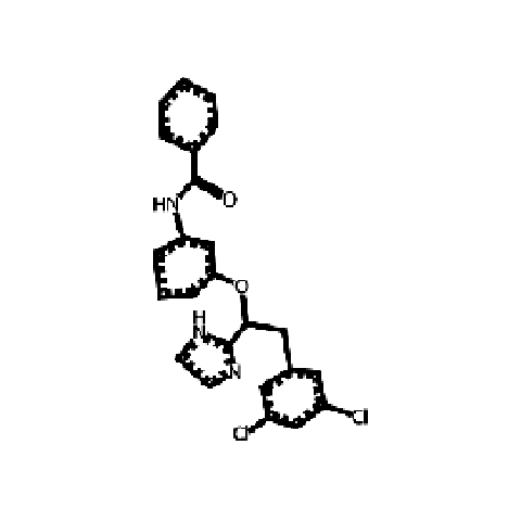 O=C(Nc1cccc(OC(Cc2cc(Cl)cc(Cl)c2)c2ncc[nH]2)c1)c1ccccc1